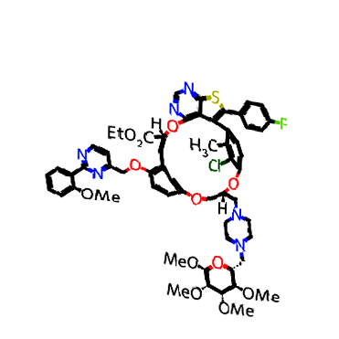 CCOC(=O)[C@H]1Cc2cc(ccc2OCc2ccnc(-c3ccccc3OC)n2)OC[C@@H](CN2CCN(C[C@H]3O[C@H](OC)[C@@H](OC)[C@@H](OC)[C@@H]3OC)CC2)Oc2ccc(c(C)c2Cl)-c2c(-c3ccc(F)cc3)sc3ncnc(c23)O1